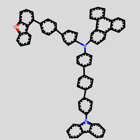 c1ccc2c(c1)oc1cccc(-c3ccc(-c4ccc(N(c5ccc(-c6ccc(-c7ccc(-n8c9ccccc9c9ccccc98)cc7)cc6)cc5)c5ccc6c7ccccc7c7ccccc7c6c5)cc4)cc3)c12